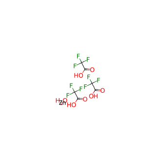 O.O=C(O)C(F)(F)F.O=C(O)C(F)(F)F.O=C(O)C(F)(F)F.[Zn]